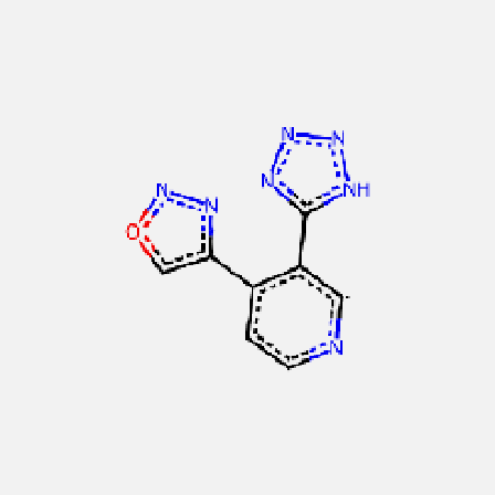 [c]1nccc(-c2conn2)c1-c1nnn[nH]1